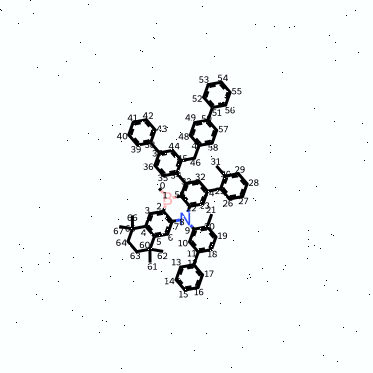 CB1c2cc3c(cc2N(c2cc(-c4ccccc4)ccc2C)c2cc(-c4ccccc4C)cc(-c4ccc(-c5ccccc5)cc4Cc4ccc(-c5ccccc5)cc4)c21)C(C)(C)CCC3(C)C